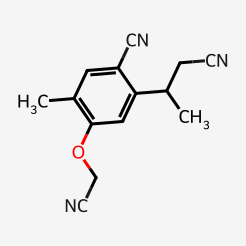 Cc1cc(C#N)c(C(C)CC#N)cc1OCC#N